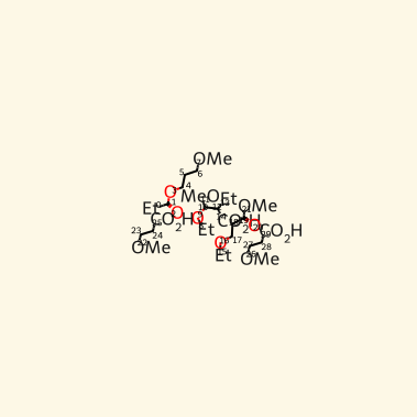 CCC(=O)OCCCOC.CCOC(OC)C(CC)C(=O)O.CCOCCC(=O)OC.COCCC(=O)O.COCCC(=O)O